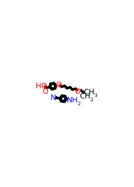 C=C(C)COCCCCCCOc1ccc(C(=O)O)cc1.N#Cc1ccc(N)cc1